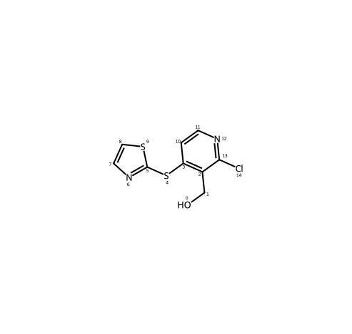 OCc1c(Sc2nccs2)ccnc1Cl